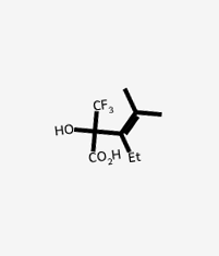 CCC(=C(C)C)C(O)(C(=O)O)C(F)(F)F